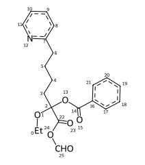 CCOC(CCCCc1ccccn1)(OC(=O)c1ccccc1)C(=O)OC=O